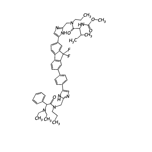 CCCN(Cc1ncc(-c2ccc3c(c2)C(F)(F)c2cc(-c4ccc(-c5cnc(CN(CCC)C(=O)C(c6ccccc6)N(CC)CC)[nH]5)cc4)ccc2-3)[nH]1)C(=O)C(NC(=O)OC)C(C)C